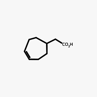 O=C(O)CC1CCC=CCC1